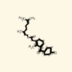 CC(C)=CCCC(C)=CCOC(=O)Cc1cccc(C(=O)c2ccc(Cl)cc2)c1C